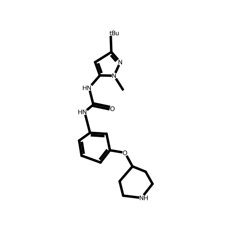 Cn1nc(C(C)(C)C)cc1NC(=O)Nc1cccc(OC2CCNCC2)c1